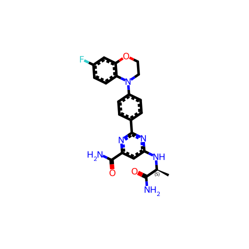 C[C@H](Nc1cc(C(N)=O)nc(-c2ccc(N3CCOc4cc(F)ccc43)cc2)n1)C(N)=O